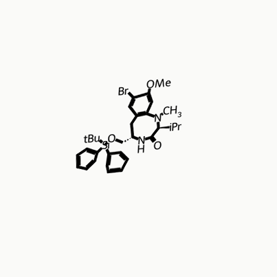 COc1cc2c(cc1Br)C[C@@H](CO[Si](c1ccccc1)(c1ccccc1)C(C)(C)C)NC(=O)[C@H](C(C)C)N2C